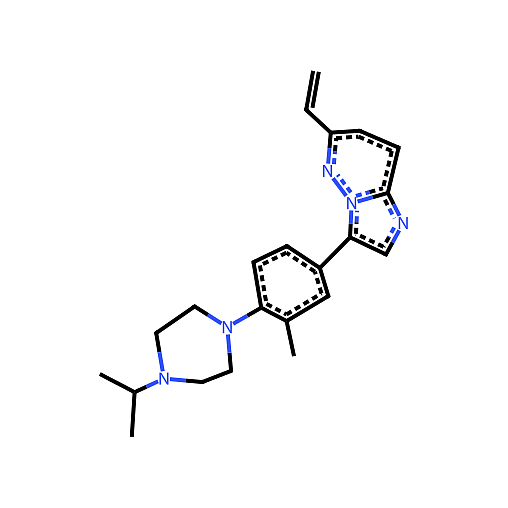 C=Cc1ccc2ncc(-c3ccc(N4CCN(C(C)C)CC4)c(C)c3)n2n1